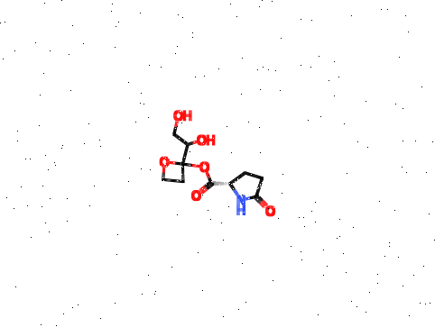 O=C1CC[C@@H](C(=O)OC2(C(O)CO)CCO2)N1